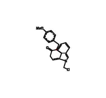 COc1ccc(CC2C(=O)CC=C3N(CCl)C=C4C=CC=CC432)cc1